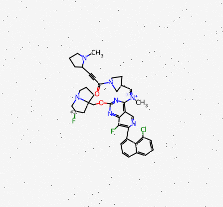 CN1CCCC1C#CC(=O)N1CCC(/C=[N+](/C)c2nc(OCC34CCCN3C[C@H](F)C4)nc3c(F)c(-c4cccc5cccc(Cl)c45)ncc23)C1